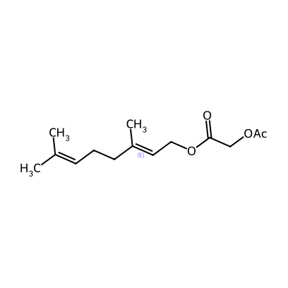 CC(=O)OCC(=O)OC/C=C(\C)CCC=C(C)C